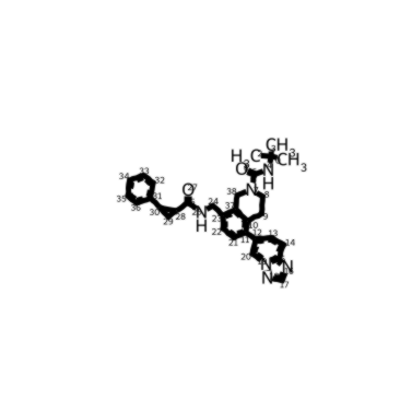 CC(C)(C)NC(=O)N1CCc2c(-c3ccc4ncnn4c3)ccc(CNC(=O)C3CC3c3ccccc3)c2C1